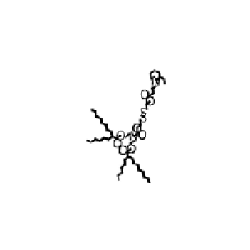 CCCCCCCCC(CCCCCC)C(=O)OCCN(CCOC(=O)C(CCCCCC)CCCCCCCC)C(=O)OCCSSCCOC(=O)CCCN1CCCCC1CC